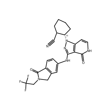 N#CC1CCCC[C@@H]1n1nc(Nc2ccc3c(c2)CN(CC(F)(F)F)C3=O)c2c(=O)[nH]ccc21